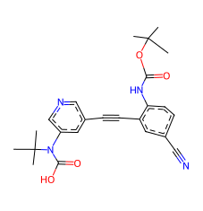 CC(C)(C)OC(=O)Nc1ccc(C#N)cc1C#Cc1cncc(N(C(=O)O)C(C)(C)C)c1